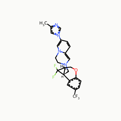 Cc1cn(C2=CN3CCN(C[C@]45c6cc(C(F)(F)F)ccc6OC[C@H]4C5(F)F)C=C3C=C2)cn1